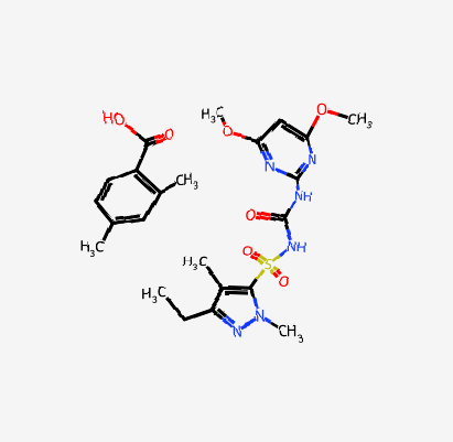 CCc1nn(C)c(S(=O)(=O)NC(=O)Nc2nc(OC)cc(OC)n2)c1C.Cc1ccc(C(=O)O)c(C)c1